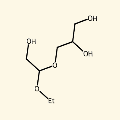 CCOC(CO)OCC(O)CO